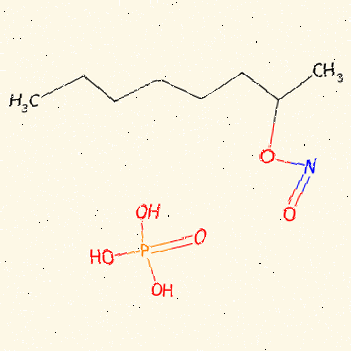 CCCCCCC(C)ON=O.O=P(O)(O)O